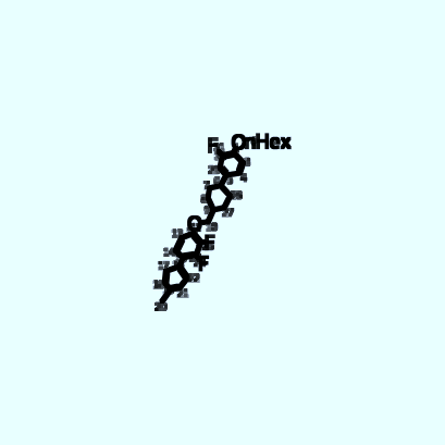 CCCCCCOc1ccc(C2CCC(COc3ccc(-c4ccc(C)cc4)c(F)c3F)CC2)cc1F